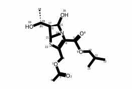 CC(=O)OCC1=C(C(=O)OCC(C)C)N2C(O)[C@H]([C@@H](C)O)C2S1